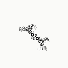 Cc1cc(C2=CCN(/C(=N/C(=O)OC(C)(C)C)NC(=O)OC(C)(C)C)CC2)c(F)cc1NC(=O)c1ccc(N2CCN(/C(=N/C(=O)OC(C)(C)C)NC(=O)OC(C)(C)C)CC2)c(F)c1